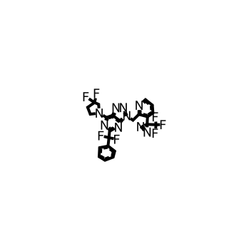 FC1(F)CCN(c2nc(C(F)(F)c3ccccc3)nc3c2nnn3Cc2ncccc2C2(C(F)(F)F)N=N2)C1